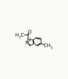 CC(=O)n1ncc2cc(C)ccc21